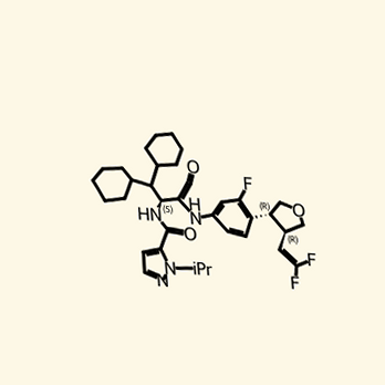 CC(C)n1nccc1C(=O)N[C@H](C(=C=O)Nc1ccc([C@@H]2COC[C@H]2C=C(F)F)c(F)c1)C(C1CCCCC1)C1CCCCC1